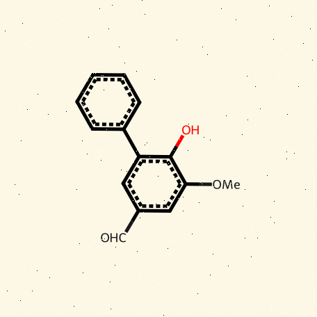 COc1cc(C=O)cc(-c2ccccc2)c1O